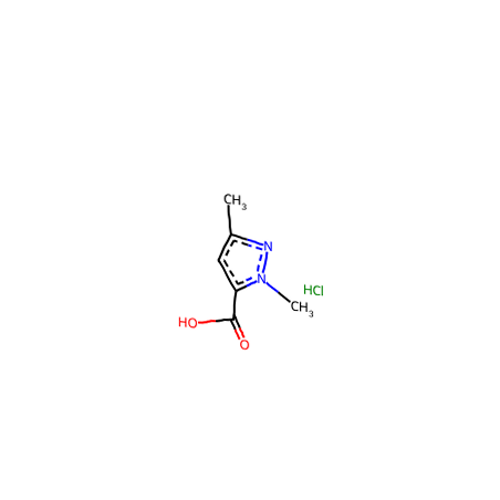 Cc1cc(C(=O)O)n(C)n1.Cl